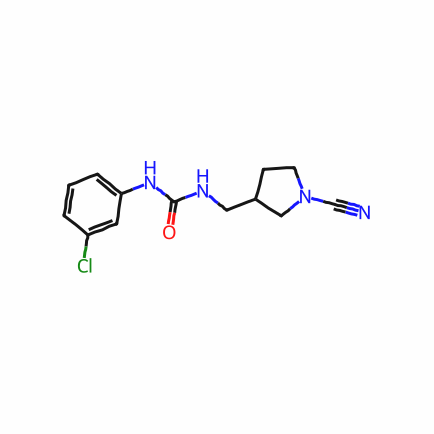 N#CN1CCC(CNC(=O)Nc2cccc(Cl)c2)C1